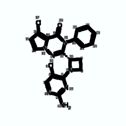 Nc1ncc(Cl)c(N2CC[C@H]2c2nn3ccc(Cl)c3c(=O)n2-c2ccccc2)n1